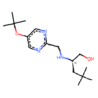 CC(C)(C)C[C@H](CO)NCc1ncc(OC(C)(C)C)cn1